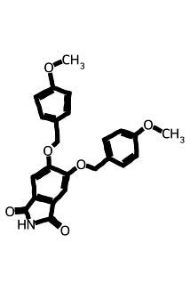 COc1ccc(COc2cc3c(cc2OCc2ccc(OC)cc2)C(=O)NC3=O)cc1